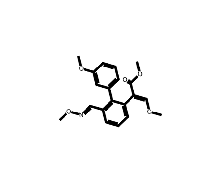 CO/C=C(/C(=O)OC)c1cccc(C=NOC)c1-c1cccc(OC)c1